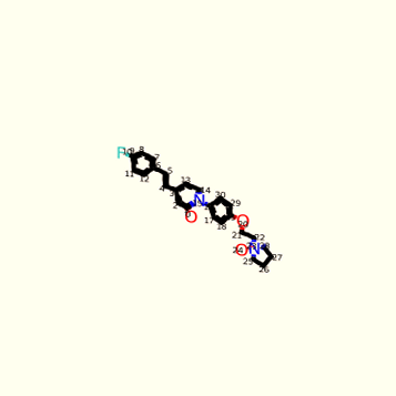 O=c1cc(C=Cc2ccc(F)cc2)ccn1-c1ccc(OCC[N+]2([O-])CCCC2)cc1